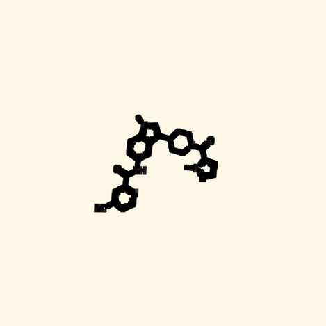 Cn1nccc1C(=O)N1CCC(c2cn(C)c3ccc(NC(=O)c4cc(C#N)ccn4)cc23)CC1